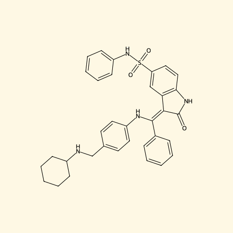 O=C1Nc2ccc(S(=O)(=O)Nc3ccccc3)cc2C1=C(Nc1ccc(CNC2CCCCC2)cc1)c1ccccc1